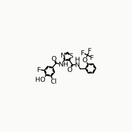 O=C(Nc1ncsc1C(=O)NCc1ccccc1OC(F)(F)F)c1cc(F)c(O)c(Cl)c1